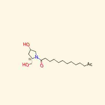 CC(=O)CCCCCCCCCCC(=O)N1CC(O)C[C@H]1CO